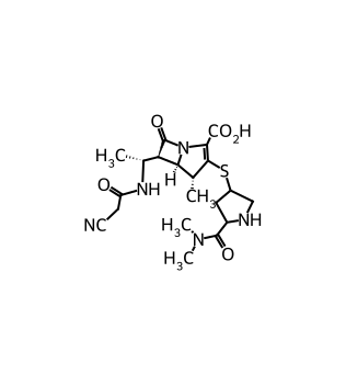 C[C@@H](NC(=O)CC#N)[C@H]1C(=O)N2C(C(=O)O)=C(SC3CNC(C(=O)N(C)C)C3)[C@H](C)[C@@H]12